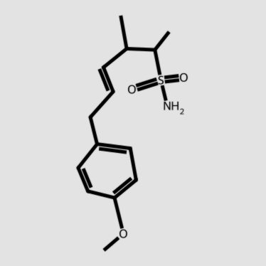 COc1ccc(CC=CC(C)C(C)S(N)(=O)=O)cc1